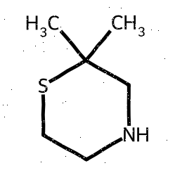 CC1(C)CNCCS1